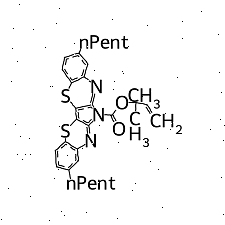 C=CC(C)(C)OC(=O)n1c2c(c3c1=Nc1cc(CCCCC)ccc1S3)Sc1ccc(CCCCC)cc1N=2